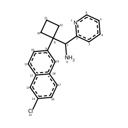 NC(c1ccccn1)C1(c2ccc3cc(Cl)ccc3c2)CCC1